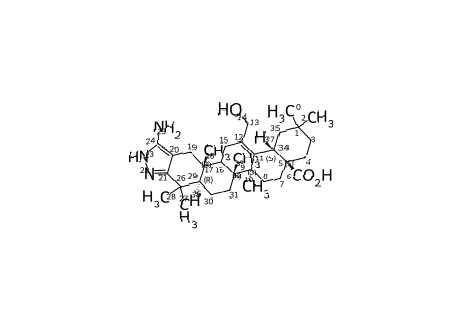 CC1(C)CC[C@]2(C(=O)O)CC[C@]3(C)C(=C(CO)CC4[C@@]5(C)Cc6c(n[nH]c6N)C(C)(C)[C@@H]5CC[C@]43C)[C@@H]2C1